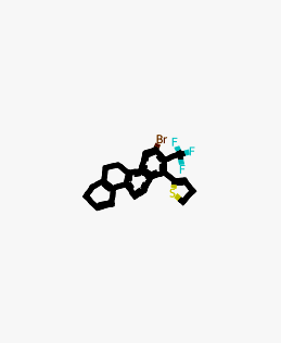 FC(F)(F)c1c(Br)cc2c3c(ccc2c1C1=CCCS1)C1=C(CCC=C1)CC3